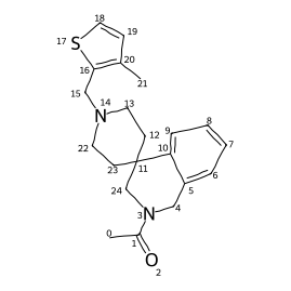 CC(=O)N1Cc2ccccc2C2(CCN(Cc3sccc3C)CC2)C1